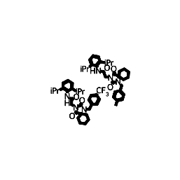 CC(C)c1cccc(C(C)C)c1NC(=O)CN1C(=O)N(Cc2ccc(C(F)(F)F)cc2)C2(CCCCC2)C1=O.Cc1ccc(CN2C(=O)N(CC(=O)Nc3c(C(C)C)cccc3C(C)C)C(=O)C23CCCCC3)cc1